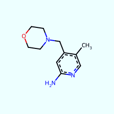 Cc1cnc(N)cc1CN1CCOCC1